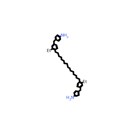 CCc1cc(Cc2ccc(N)cc2)ccc1CCCCCCCCCCCCCCCCc1ccc(Cc2ccc(N)cc2)cc1CC